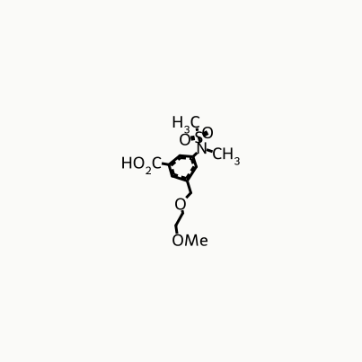 COCCOCc1cc(C(=O)O)cc(N(C)S(C)(=O)=O)c1